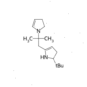 CC(C)(C)C1CC=C(CC(C)(C)N2C=CCC2)N1